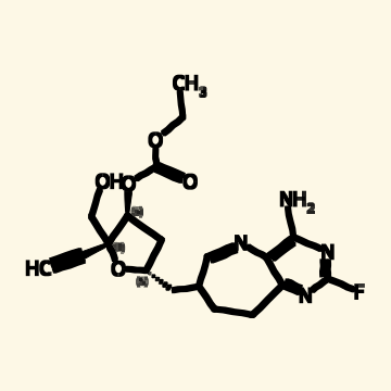 C#C[C@]1(CO)O[C@@H](CC2C=Nc3c(N)nc(F)nc3CC2)C[C@@H]1OC(=O)OCC